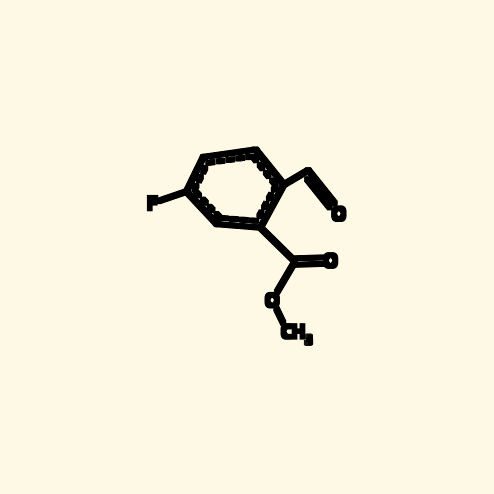 COC(=O)c1cc(F)ccc1C=O